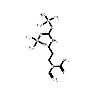 C=CN(CCC[SiH2]C(O[Si](C)(C)C)O[Si](C)(C)C)C(N)=O